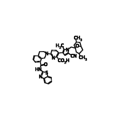 Cc1c(-c2ccc(N3CCc4cccc(C(=O)Nc5nc6ccccc6s5)c4C3)nc2C(=O)O)cc(C#N)n1CC12CC(C)CC(CC(C)C1)O2